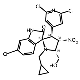 O=C1Nc2cc(Cl)ccc2[C@@]12[C@@H](c1cc(Cl)nc(Cl)c1)[C@H]([N+](=O)[O-])[C@H](CO)N2CC1CC1